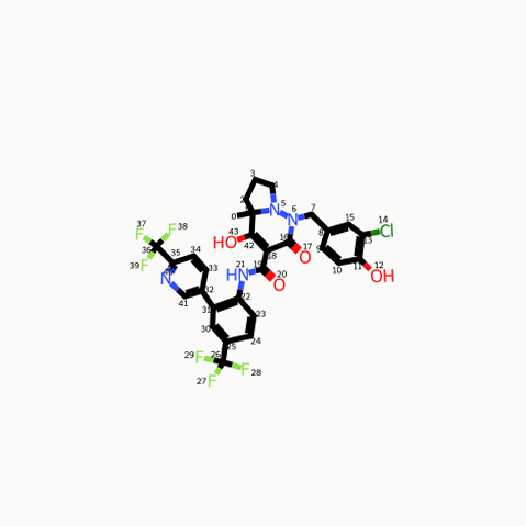 CC12CCCN1N(Cc1ccc(O)c(Cl)c1)C(=O)C(C(=O)Nc1ccc(C(F)(F)F)cc1-c1ccc(C(F)(F)F)nc1)=C2O